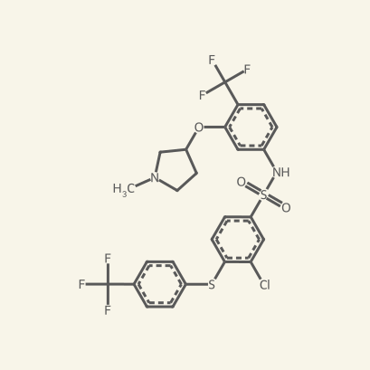 CN1CCC(Oc2cc(NS(=O)(=O)c3ccc(Sc4ccc(C(F)(F)F)cc4)c(Cl)c3)ccc2C(F)(F)F)C1